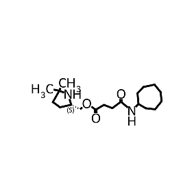 CC1(C)CC[C@@H](COC(=O)CCC(=O)NC2CCCCCCC2)N1